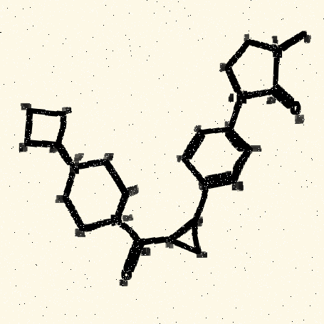 CN1CCN(c2ccc(C3CC3C(=O)N3CCN(C4CCC4)CC3)cc2)C1=O